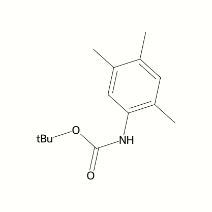 Cc1cc(C)c(NC(=O)OC(C)(C)C)cc1C